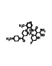 Cc1cncc(NC(=O)C(C(N)N=O)C2NCC(F)CN2C)c1N1CCC(C(=O)N2CCN(C)CC2)CC1